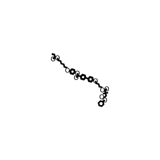 C=CC(=O)OCCCCCCOc1ccc(OC(=O)c2ccc(-c3ccc(OCCCCOC(=O)C(C)(C)CC(=O)OC4CCCCC4)cc3)cc2)cc1